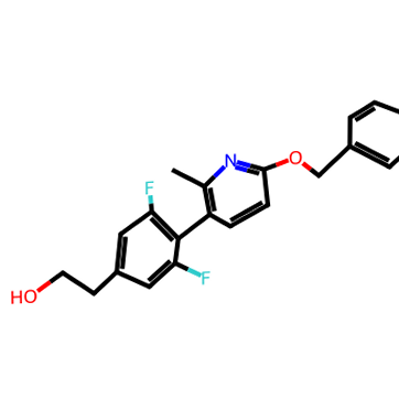 Cc1nc(OCc2ccccc2)ccc1-c1c(F)cc(CCO)cc1F